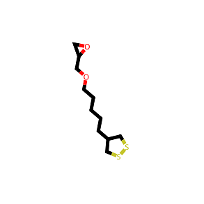 C(CCOCC1CO1)CCC1CSSC1